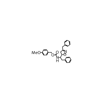 COc1ccc(COC(=O)NC(Cc2ccccc2)C2CC(Cc3ccccc3)=NO2)cc1